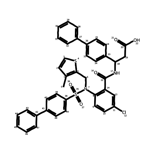 Cc1ccsc1CN(c1ccc(Cl)cc1C(=O)NC(CC(=O)O)c1ccc(-c2ccccc2)cc1)S(=O)(=O)c1ccc(-c2ccccc2)cc1